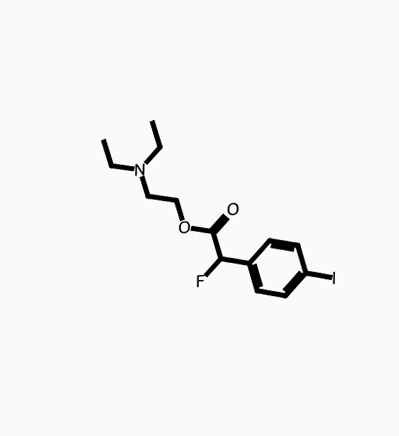 CCN(CC)CCOC(=O)C(F)c1ccc(I)cc1